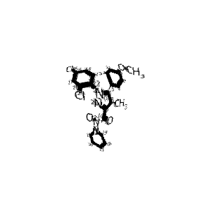 COc1ccc([C@@H]2[C@H](C)C(C(=O)[NH+]([O-])N3CCCCC3)=NN2c2ccc(Cl)cc2Cl)cc1